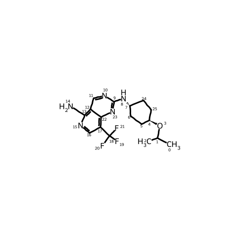 CC(C)O[C@H]1CC[C@H](Nc2ncc3c(N)ncc(C(F)(F)F)c3n2)CC1